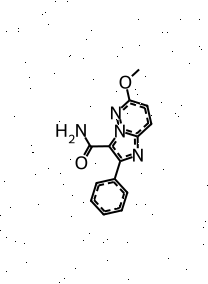 COc1ccc2nc(-c3ccccc3)c(C(N)=O)n2n1